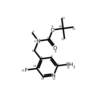 Bc1cc(CN(C)C(=O)OC(C)(C)C)c(F)cn1